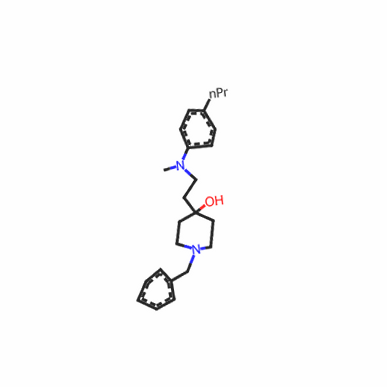 CCCc1ccc(N(C)CCC2(O)CCN(Cc3ccccc3)CC2)cc1